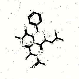 CNC(=O)[C@H](Cc1ccccc1)N(C(=O)C(C)SC(C)=O)C(=O)[C@@H](N)CC(C)C